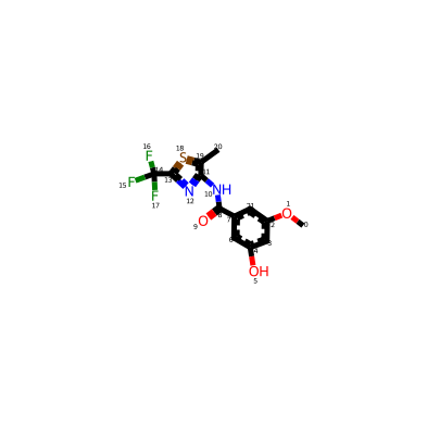 COc1cc(O)cc(C(=O)Nc2nc(C(F)(F)F)sc2C)c1